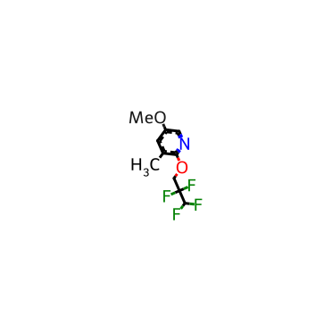 COc1cnc(OCC(F)(F)C(F)F)c(C)c1